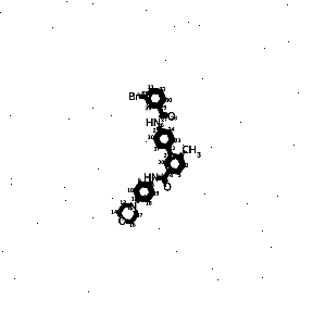 Cc1ccc(C(=O)Nc2ccc(N3CCOCC3)cc2)cc1-c1ccc(NC(=O)c2cccc(Br)c2)cc1